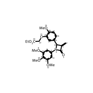 C=C1C(=O)N(c2cc(OC)c(OC)c(OC)c2)C1c1ccc(OC)c(OCC(=O)OCC)c1